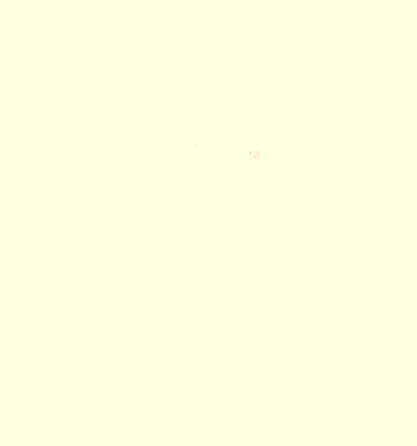 [CH2]CCCCOCC(N)=O